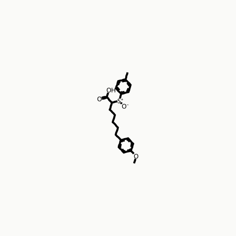 COc1ccc(CCCCCC(C(=O)O)[S+]([O-])c2ccc(C)cc2)cc1